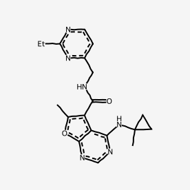 CCc1nccc(CNC(=O)c2c(C)oc3ncnc(NC4(C)CC4)c23)n1